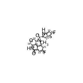 CN(C(=O)c1cc2sc(F)cc2[nH]1)[C@H]1COCc2[nH]c(=O)c3cc(F)ccc3c21